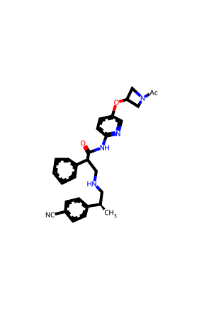 CC(=O)N1CC(Oc2ccc(NC(=O)C(CNC[C@@H](C)c3ccc(C#N)cc3)c3ccccc3)nc2)C1